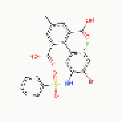 Cc1cc(C(=O)O)c(-c2cc(NS(=O)(=O)c3ccccc3)c(Br)cc2F)c(C(=O)O)c1